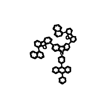 c1ccc(-c2c3ccccc3c(-c3ccc(-n4c5ccc(-c6cccc7c6oc6c(-c8cccc9ccccc89)cccc67)cc5c5cc(-c6cccc7c6oc6c(-c8cccc9ccccc89)cccc67)ccc54)cc3)c3ccccc23)cc1